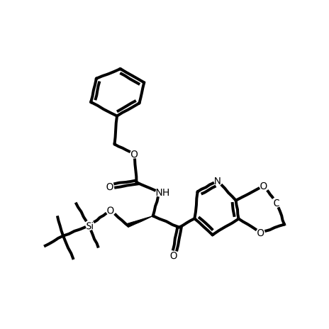 CC(C)(C)[Si](C)(C)OC[C@@H](NC(=O)OCc1ccccc1)C(=O)c1cnc2c(c1)OCCO2